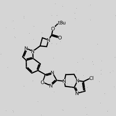 CC(C)(C)OC(=O)N1CC(n2ncc3ccc(-c4nc(N5CCn6c(Cl)cnc6C5)no4)cc32)C1